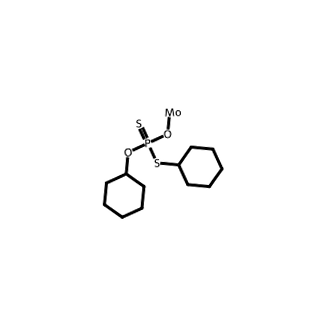 S=P([O][Mo])(OC1CCCCC1)SC1CCCCC1